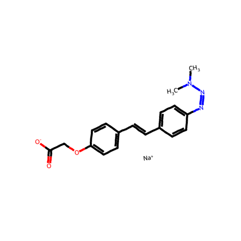 CN(C)/N=N\c1ccc(C=Cc2ccc(OCC(=O)[O-])cc2)cc1.[Na+]